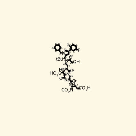 CC(C)(C)[C@H](c1cc(-c2cc(F)ccc2F)cn1Cc1ccccc1)N(CC[C@H](N[C@@H](CC(N)=O)C(=O)O)C(=O)NCCC(=O)N[C@H](CCC(=O)O)C(=O)O)C(=O)CO